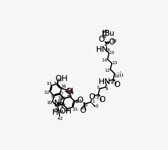 C[C@H](OC(=O)CCNC(=O)[C@@H](C)CCCCNC(=O)OC(C)(C)C)C(=O)OC1=CC[C@@]2(O)[C@H]3Cc4ccc(O)c5c4[C@@]2(CCN3C)[C@H]1O5